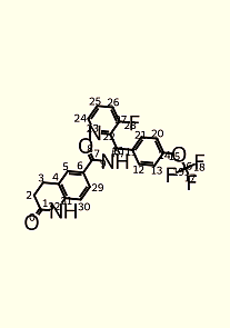 O=C1CCc2cc(C(=O)N[C@@H](c3ccc(OC(F)(F)F)cc3)c3ncccc3F)ccc2N1